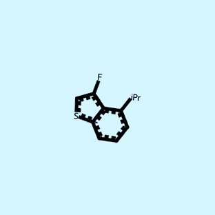 CC(C)c1cccc2scc(F)c12